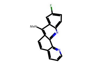 CNc1c2cc(F)ccc2nc2c1ccc1cccnc12